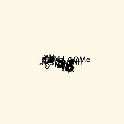 CONC(=O)c1ccccc1Nc1cc(Nc2cc3n(n2)CCN(C)C3=O)ncc1Cl